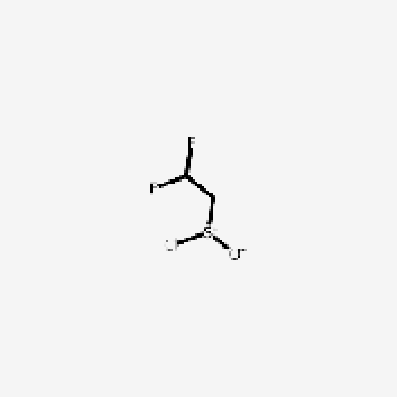 [O-][S+](Cl)CC(F)F